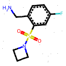 NCc1ccc(F)cc1S(=O)(=O)N1CCC1